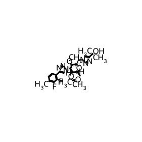 CO[C@@H]1[C@@H](n2cc(-c3ccc(C)c(F)c3F)nn2)[C@H]2OC(C)(C)OC[C@H]2O[C@@H]1Cn1cc(C(C)(C)O)nn1